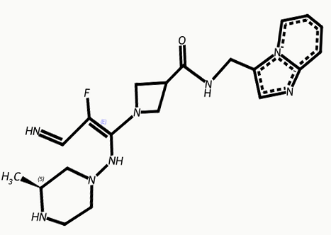 C[C@H]1CN(N/C(=C(/F)C=N)N2CC(C(=O)NCc3cnc4ccccn34)C2)CCN1